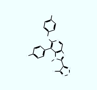 CCn1c(-c2nonc2N)nc2cnc(Oc3ccc(F)cc3)c(-c3ccc(F)cc3)c21